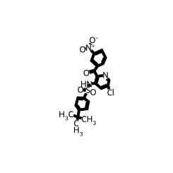 CC(C)(C)c1ccc(S(=O)(=O)Nc2cc(Cl)cnc2C(=O)c2cccc([N+](=O)[O-])c2)cc1